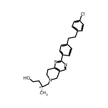 C[C@H](CCO)CN1CCc2nc(-c3ccc(CCc4ccc(Cl)cc4)cc3)ncc2C1